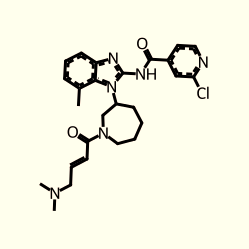 Cc1cccc2nc(NC(=O)c3ccnc(Cl)c3)n(C3CCCCN(C(=O)C=CCN(C)C)C3)c12